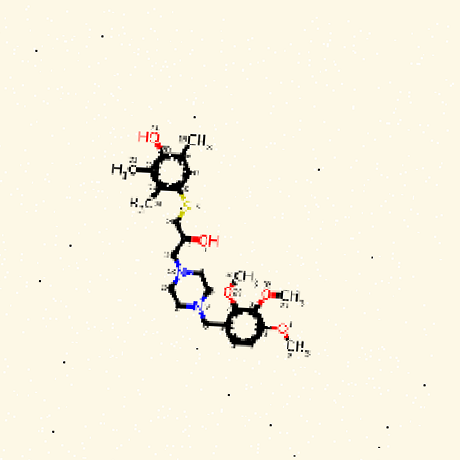 COc1ccc(CN2CCN(CC(O)CSc3cc(C)c(O)c(C)c3C)CC2)c(OC)c1OC